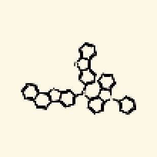 c1ccc(-n2c3ccccc3c3c(N(c4ccc5c(c4)oc4ccccc45)c4ccc5c(c4)sc4c6ccccc6ccc54)cccc32)cc1